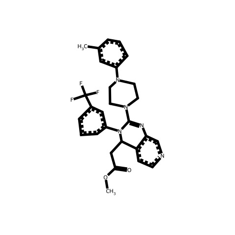 COC(=O)CC1c2ccncc2N=C(N2CCN(c3cccc(C)c3)CC2)N1c1cccc(C(F)(F)F)c1